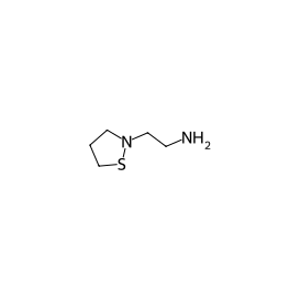 NCCN1CCCS1